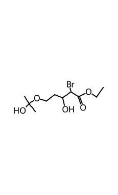 CCOC(=O)C(Br)C(O)CCOC(C)(C)O